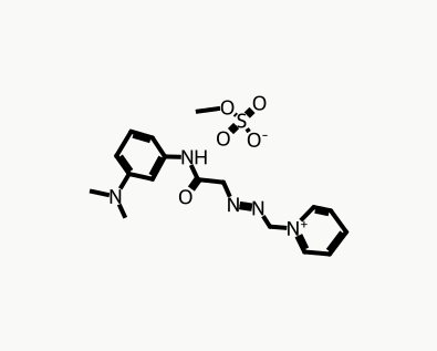 CN(C)c1cccc(NC(=O)CN=NC[n+]2ccccc2)c1.COS(=O)(=O)[O-]